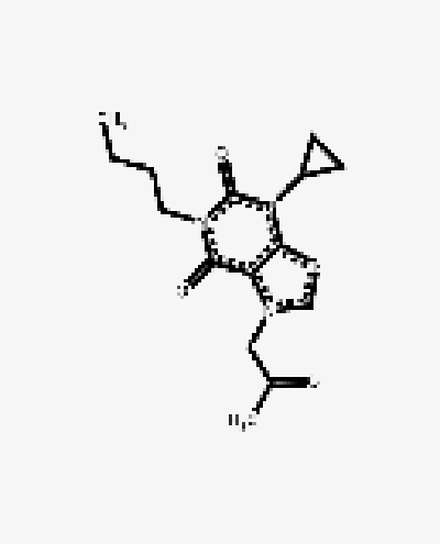 CCCCn1c(=O)c2c(ncn2CC(C)=O)n(C2CC2)c1=O